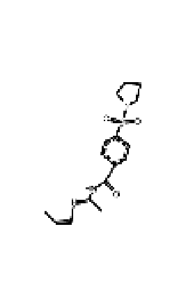 C/C=C\N=C(/C)NC(=O)c1ccc(S(=O)(=O)N2CCCC2)cc1